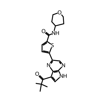 CC(C)(C)C(=O)c1c[nH]c2ncc(-c3ccc(C(=O)NC4CCOCC4)s3)nc12